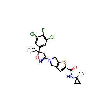 N#CC1(NC(=O)c2cc3c(s2)CN(C2=NOC(c4cc(Cl)c(F)c(Cl)c4)(C(F)(F)F)C2)C3)CC1